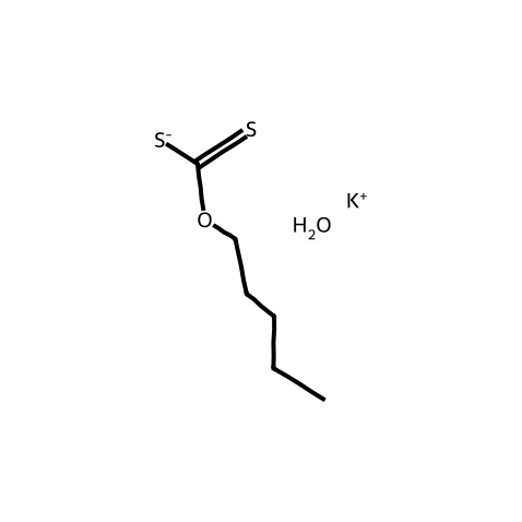 CCCCCOC(=S)[S-].O.[K+]